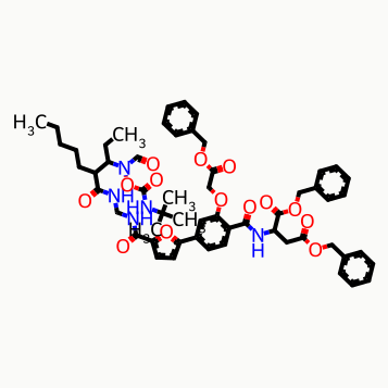 CCCCCC(C(=O)NCNC(=O)c1ccc(-c2ccc(C(=O)NC(CC(=O)OCc3ccccc3)C(=O)OCc3ccccc3)c(OCC(=O)OCc3ccccc3)c2)o1)C(CC)N(C=O)OC(=O)NC(C)(C)C